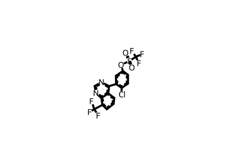 O=S(=O)(Oc1ccc(Cl)c(-c2ncnc3c(C(F)(F)F)cccc23)c1)C(F)(F)F